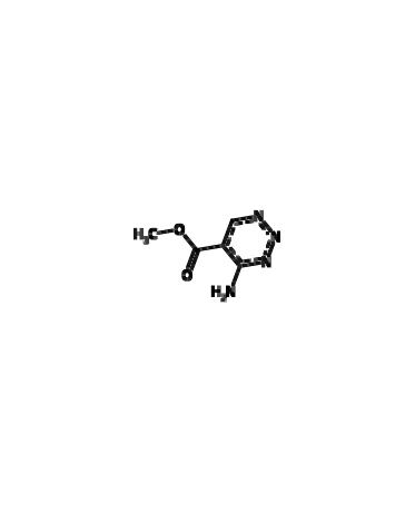 COC(=O)c1cnnnc1N